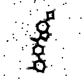 O=C(c1n[nH]c2c1CCCN(C1COC1)C2)N1CCC(C2=CCCCC(F)=C2)CC1